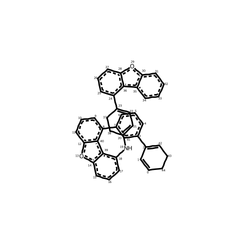 C1=CC(c2cccc(-c3cccc4oc5cccc(NC6=CC=C(c7cccc8oc9ccccc9c78)CC6)c5c34)c2)=CCC1